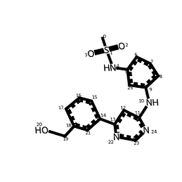 CS(=O)(=O)Nc1cccc(Nc2cc(-c3cccc(CO)c3)ncn2)c1